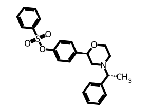 C[C@H](c1ccccc1)N1CCO[C@H](c2ccc(OS(=O)(=O)c3ccccc3)cc2)C1